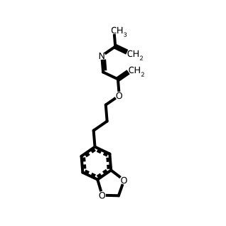 C=C(C)/N=C\C(=C)OCCCc1ccc2c(c1)OCO2